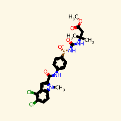 COC(=O)CC(C)(C)NC(=O)N[S+]([O-])c1ccc(NC(=O)c2cc3c(Cl)c(Cl)ccc3n2C)cc1